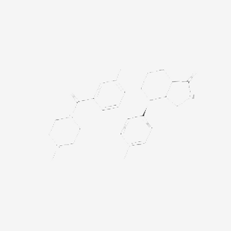 C[C@H]1NC(=O)[C@]2(C)CC[C@@H](c3ccc(C(=O)N4CCN(C)CC4)cc3Cl)[C@H](c3ccc(Cl)cc3)[C@H]12